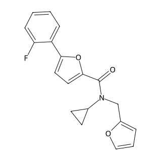 O=C(c1ccc(-c2ccccc2F)o1)N(Cc1ccco1)C1CC1